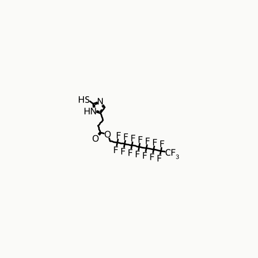 O=C(CCc1cnc(S)[nH]1)OCC(F)(F)C(F)(F)C(F)(F)C(F)(F)C(F)(F)C(F)(F)C(F)(F)C(F)(F)F